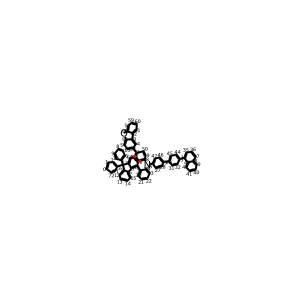 c1ccc(C2(c3ccccc3)c3ccccc3-c3c(-c4ccccc4N(c4ccc(-c5ccc(-c6cccc7ccccc67)cc5)cc4)c4ccc(-c5ccc6oc7ccccc7c6c5)cc4)cccc32)cc1